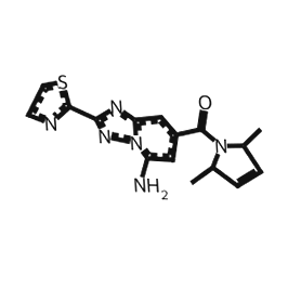 CC1C=CC(C)N1C(=O)c1cc(N)n2nc(-c3nccs3)nc2c1